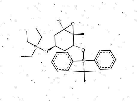 CC[Si](CC)(CC)O[C@H]1C[C@H]2O[C@]2(C)[C@H](O[Si](c2ccccc2)(c2ccccc2)C(C)(C)C)C1